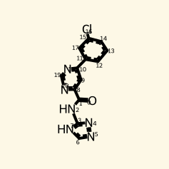 O=C(Nc1nnc[nH]1)c1cc(-c2cccc(Cl)c2)ncn1